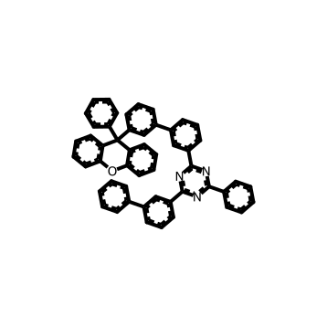 c1ccc(-c2cccc(-c3nc(-c4ccccc4)nc(-c4cccc(-c5cccc(C6(c7ccccc7)c7ccccc7Oc7ccccc76)c5)c4)n3)c2)cc1